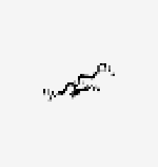 CCCNCCC.N#CS